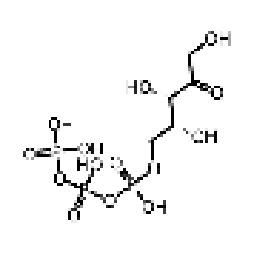 O=C(CO)[C@@H](O)[C@H](O)COP(=O)(O)OP(=O)(O)OP(=O)(O)O